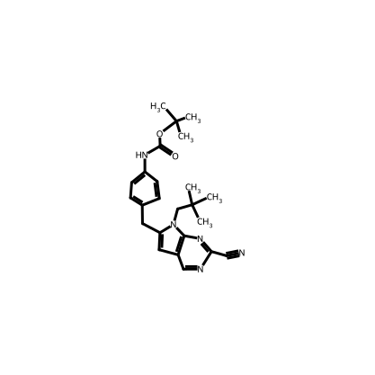 CC(C)(C)Cn1c(Cc2ccc(NC(=O)OC(C)(C)C)cc2)cc2cnc(C#N)nc21